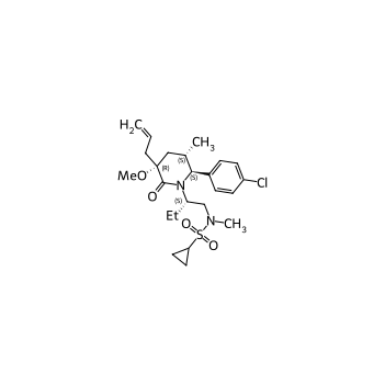 C=CC[C@@]1(OC)C[C@H](C)[C@@H](c2ccc(Cl)cc2)N([C@@H](CC)CN(C)S(=O)(=O)C2CC2)C1=O